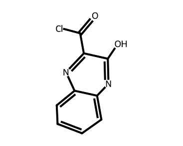 O=C(Cl)c1nc2ccccc2nc1O